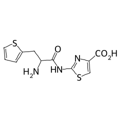 NC(Cc1cccs1)C(=O)Nc1nc(C(=O)O)cs1